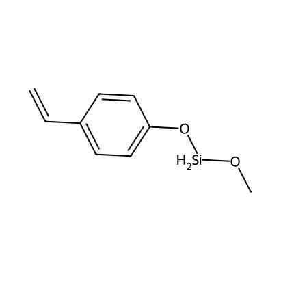 C=Cc1ccc(O[SiH2]OC)cc1